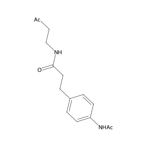 CC(=O)CCNC(=O)CCc1ccc(NC(C)=O)cc1